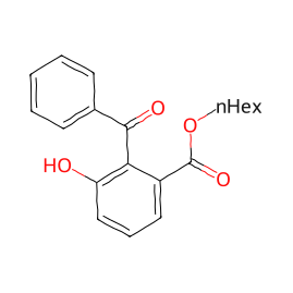 CCCCCCOC(=O)c1cccc(O)c1C(=O)c1ccccc1